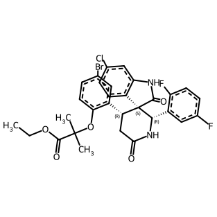 CCOC(=O)C(C)(C)Oc1ccc(Br)cc1[C@H]1CC(=O)N[C@@H](c2cc(F)ccc2F)[C@]12C(=O)Nc1cc(Cl)ccc12